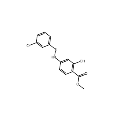 COC(=O)c1ccc(NSc2cccc(Cl)c2)cc1O